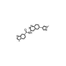 Cn1cc(-c2ccc3nnc(NC(=O)c4ccc5scnc5c4)cc3c2)cn1